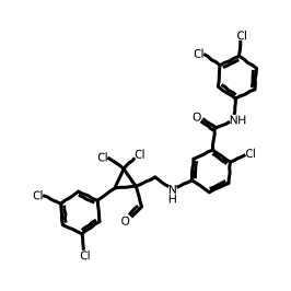 O=CC1(CNc2ccc(Cl)c(C(=O)Nc3ccc(Cl)c(Cl)c3)c2)C(c2cc(Cl)cc(Cl)c2)C1(Cl)Cl